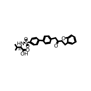 CC(C)[C@@H](NS(=O)(=O)c1ccc(-c2ccc(CC(=O)C3Cc4ccccc4O3)cc2)cc1)C(=O)O